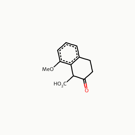 COc1cccc2c1C(C(=O)O)C(=O)CC2